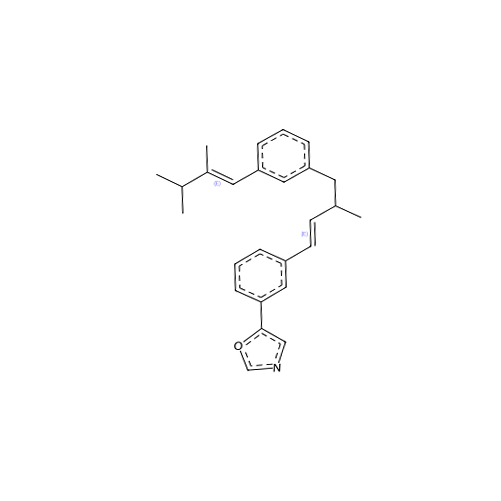 C/C(=C\c1cccc(CC(C)/C=C/c2cccc(-c3cnco3)c2)c1)C(C)C